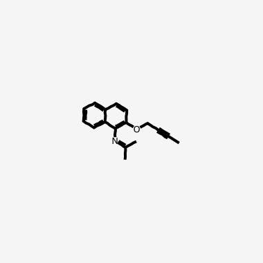 CC#CCOc1ccc2ccccc2c1N=C(C)C